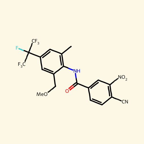 COCc1cc(C(F)(C(F)(F)F)C(F)(F)F)cc(C)c1NC(=O)c1ccc(C#N)c([N+](=O)[O-])c1